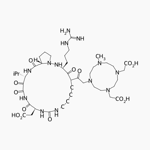 CC(C)[C@@H]1NC(=O)[C@@H]2CCCN2N[C@@H](CCCNC(=N)N)C(=O)C(C(=O)CN2CCN(C)CCN(CC(=O)O)CCN(CC(=O)O)CC2)CCCCNC(=O)N[C@@H](CC(=O)O)C(=O)NC(=O)C1=O